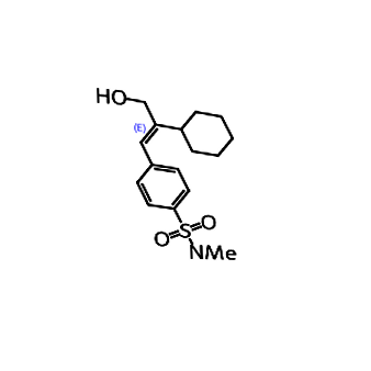 CNS(=O)(=O)c1ccc(/C=C(/CO)C2CCCCC2)cc1